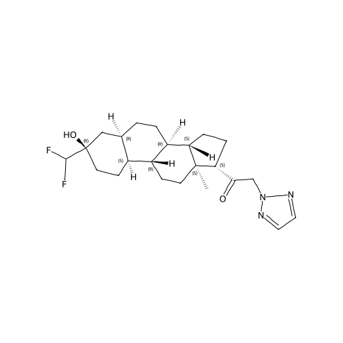 C[C@]12CC[C@H]3[C@@H](CC[C@@H]4C[C@@](O)(C(F)F)CC[C@@H]43)[C@@H]1CC[C@@H]2C(=O)Cn1nccn1